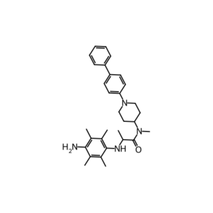 Cc1c(C)c(NC(C)C(=O)N(C)C2CCN(c3ccc(-c4ccccc4)cc3)CC2)c(C)c(C)c1N